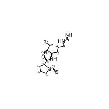 N=CNCCCC(NC(=O)C1CCCN1C=O)C(=O)CF